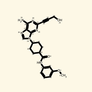 COc1cccc(NC(=O)C2CCC(n3cnc4c(N)nc(C#CCO)nc43)CC2)c1